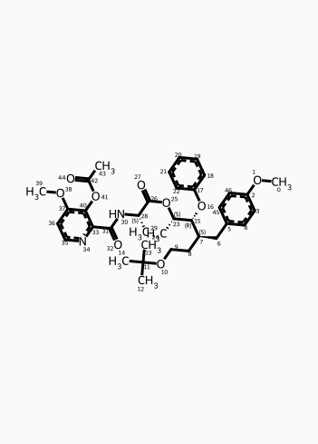 COc1ccc(C[C@@H](CCOC(C)(C)C)[C@@H](Oc2ccccc2)[C@H](C)OC(=O)[C@H](C)NC(=O)c2nccc(OC)c2OC(C)=O)cc1